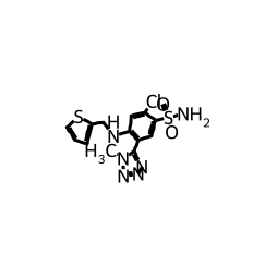 Cn1nnnc1-c1cc(S(N)(=O)=O)c(Cl)cc1NCc1cccs1